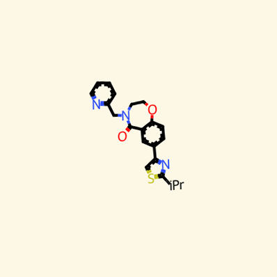 CC(C)c1nc(-c2ccc3c(c2)C(=O)N(Cc2ccccn2)CCO3)cs1